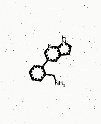 NCc1ccccc1-c1cnc2[nH]ccc2c1